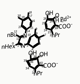 CCCCCCC(=Nc1ccc(C)c(C)c1)C(CCCC)=Nc1ccc(C)c(C)c1.CCCc1ccc(O)c(O)c1C(=O)[O-].CCCc1ccc(O)c(O)c1C(=O)[O-].[Pd+2]